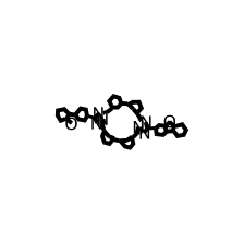 c1cc2cc(c1)c1nc(-c3ccc4c(c3)oc3ccccc34)nc(n1)c1cccc(c1)c1cccc(c1)c1nc(-c3ccc4c(c3)oc3ccccc34)nc(n1)c1cccc2c1